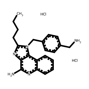 CCCCc1nc2c(N)nc3ccccc3c2n1Cc1ccc(CN)cc1.Cl.Cl